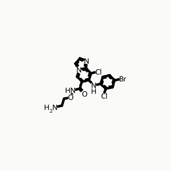 NCCONC(=O)c1cn2ccnc2c(Cl)c1Nc1ccc(Br)cc1Cl